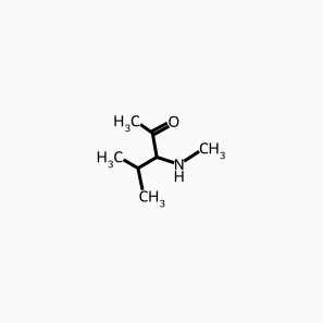 CNC(C(C)=O)C(C)C